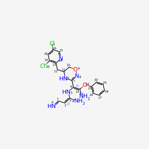 N=C/C=C(/N)N/C(C1=NOCC(Cc2ncc(Cl)cc2Cl)N1)=C(\N)Oc1ccccc1